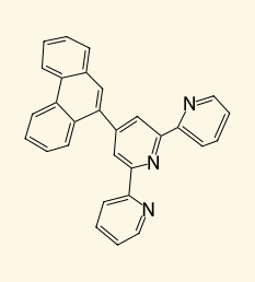 c1ccc(-c2cc(-c3cc4ccccc4c4ccccc34)cc(-c3ccccn3)n2)nc1